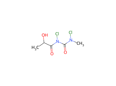 CC(O)C(=O)N(Cl)C(=O)N(C)Cl